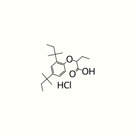 CCC(Oc1ccc(C(C)(C)CC)cc1C(C)(C)CC)C(=O)O.Cl